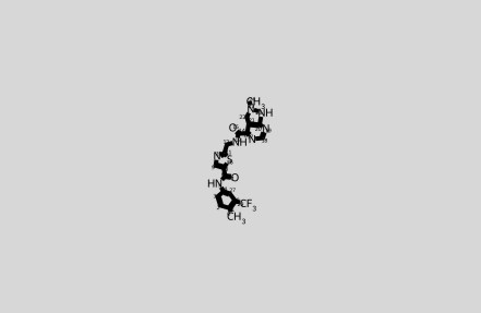 Cc1ccc(NC(=O)c2cnc(CNC(=O)c3ncnc4c3CN(C)N4)s2)cc1C(F)(F)F